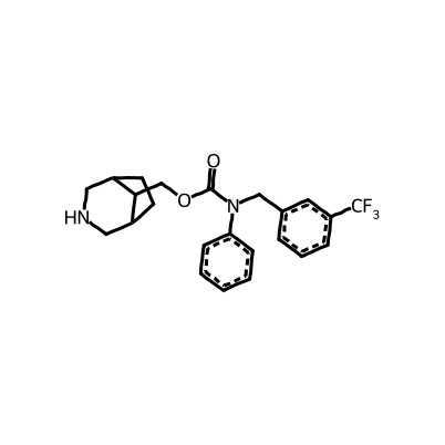 O=C(OCC1C2CCC1CNC2)N(Cc1cccc(C(F)(F)F)c1)c1ccccc1